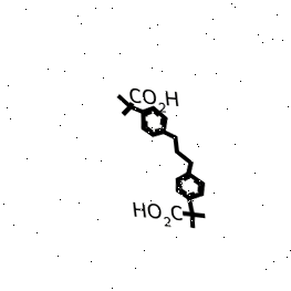 CC(C)(C(=O)O)c1ccc(CCCc2ccc(C(C)(C)C(=O)O)cc2)cc1